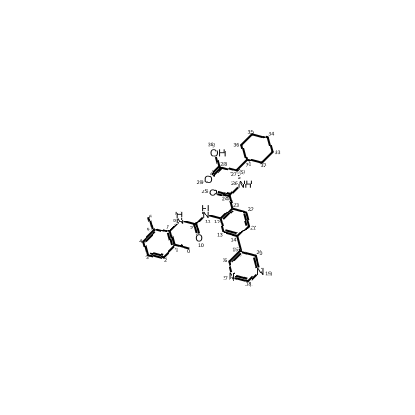 Cc1cccc(C)c1NC(=O)Nc1cc(-c2cncnc2)ccc1C(=O)N[C@H](C(=O)O)C1CCCCC1